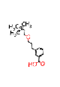 C[Si](C)(C)CCOCCCc1cccc(C(=O)O)c1